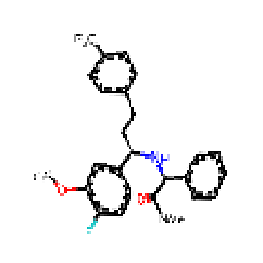 CNC(=O)[C@@H](N[C@H](CCc1ccc(C(F)(F)F)cc1)c1ccc(F)c(OC(F)(F)F)c1)c1ccccc1